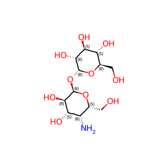 N[C@@H]1[C@H](O)[C@@H](O)[C@@H](O[C@H]2O[C@H](CO)[C@@H](O)[C@H](O)[C@H]2O)O[C@@H]1CO